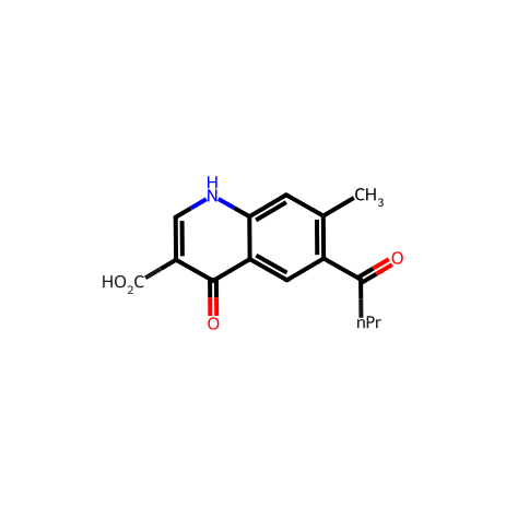 CCCC(=O)c1cc2c(=O)c(C(=O)O)c[nH]c2cc1C